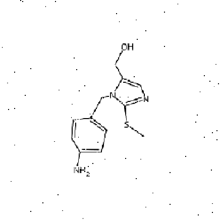 CSc1ncc(CO)n1Cc1ccc(N)cc1